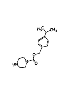 CC(C)c1ccc(COC(=O)N2CCNCC2)cc1